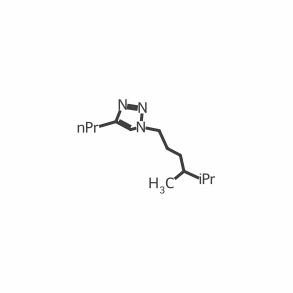 CCCc1cn(CCCC(C)C(C)C)nn1